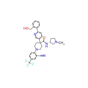 CN1CC[C@@H](NC(=O)C2(c3ccc(-c4ccccc4CO)nc3)CCN(c3ccc(C(F)(F)F)cc3C#N)CC2)C1